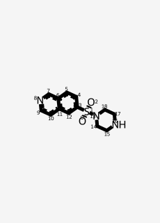 O=S(=O)(c1ccc2cnccc2c1)N1CCNCC1